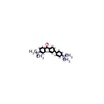 CN(C)c1ccc(C(=O)c2ccc(-c3ccc(N(C)C)cc3)cc2)cc1